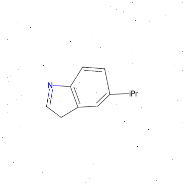 CC(C)c1ccc2c(c1)CC=N2